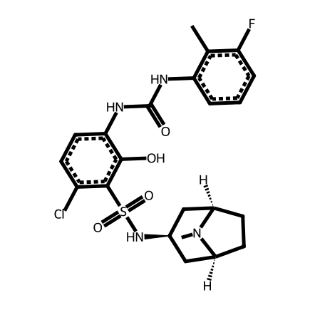 Cc1c(F)cccc1NC(=O)Nc1ccc(Cl)c(S(=O)(=O)N[C@H]2C[C@H]3CC[C@@H](C2)N3C)c1O